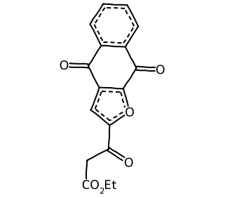 CCOC(=O)CC(=O)c1cc2c(o1)C(=O)c1ccccc1C2=O